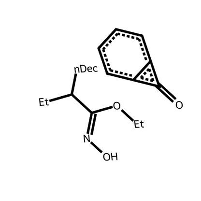 CCCCCCCCCCC(CC)C(=NO)OCC.O=c1c2ccccc12